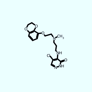 CN(CCCNc1c(Cl)cn[nH]c1=O)CCOc1cccc2c1OCCO2